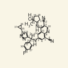 [2H]C(Nc1cc(C#N)c2ncc(C#N)c(NC3CCCC3(C)C)c2c1)(c1ccc(F)cc1)c1cn(C2CC2)nn1